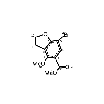 COC(=O)c1cc(Br)c2c(c1OC)CCO2